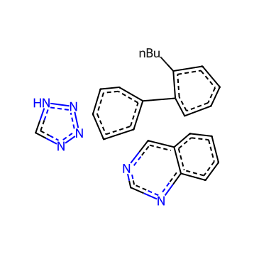 CCCCc1ccccc1-c1ccccc1.c1ccc2ncncc2c1.c1nnn[nH]1